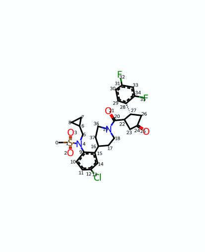 CS(=O)(=O)N(CC1CC1)c1ccc(Cl)cc1C1CCN(C(=O)C2CC(=O)C[C@H]2c2ccc(F)cc2F)CC1